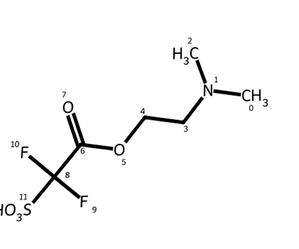 CN(C)CCOC(=O)C(F)(F)S(=O)(=O)O